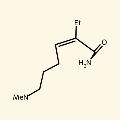 CCC(=CCCCNC)C(N)=O